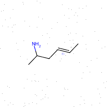 C/C=C/CC(C)N